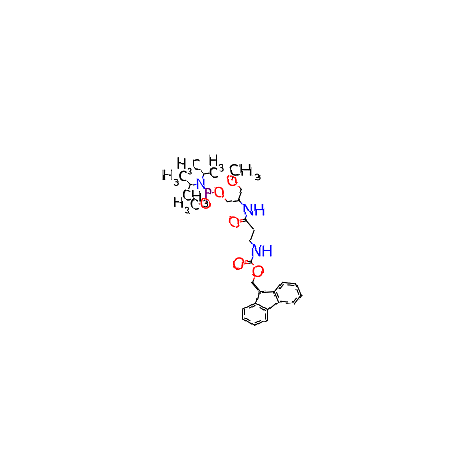 COCC(COP(OC)N(C(C)C)C(C)C)NC(=O)CCNC(=O)OCC1c2ccccc2-c2ccccc21